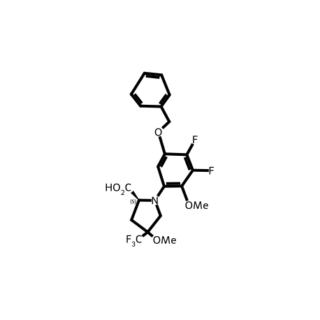 COc1c(N2CC(OC)(C(F)(F)F)C[C@H]2C(=O)O)cc(OCc2ccccc2)c(F)c1F